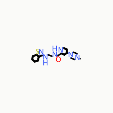 CN1CCN(c2ccnc(C(=O)NCCNc3nsc4ccccc34)c2)CC1